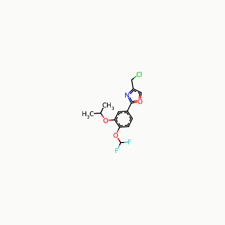 CC(C)Oc1cc(-c2nc(CCl)co2)ccc1OC(F)F